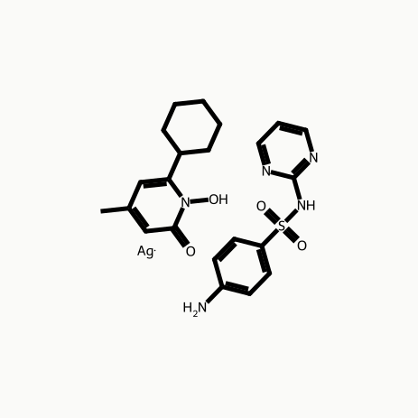 Cc1cc(C2CCCCC2)n(O)c(=O)c1.Nc1ccc(S(=O)(=O)Nc2ncccn2)cc1.[Ag]